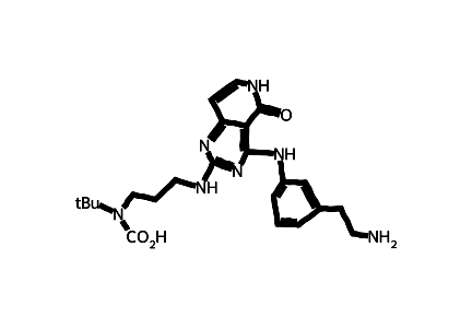 CC(C)(C)N(CCCNc1nc(Nc2cccc(CCN)c2)c2c(=O)[nH]ccc2n1)C(=O)O